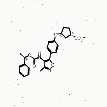 Cc1noc(-c2ccc(O[C@H]3CC[C@H](C(=O)O)C3)cc2)c1NC(=O)O[C@H](C)c1ccccc1